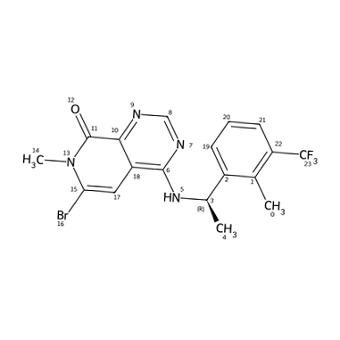 Cc1c([C@@H](C)Nc2ncnc3c(=O)n(C)c(Br)cc23)cccc1C(F)(F)F